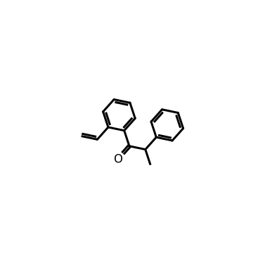 C=Cc1ccccc1C(=O)C(C)c1ccccc1